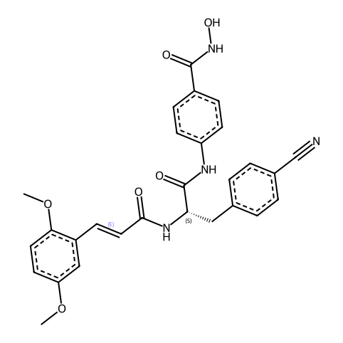 COc1ccc(OC)c(/C=C/C(=O)N[C@@H](Cc2ccc(C#N)cc2)C(=O)Nc2ccc(C(=O)NO)cc2)c1